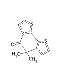 CC1(C)C(=O)c2ccsc2-c2sccc21